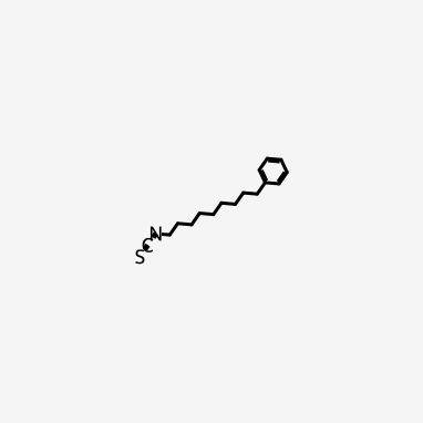 S=C=NCCCCCCCCCc1ccccc1